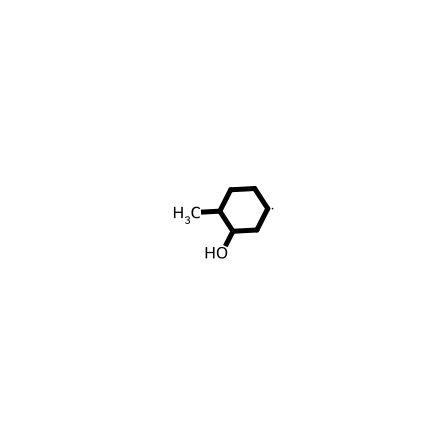 CC1CC[CH]CC1O